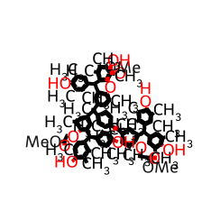 COC(=O)COc1c(C)cc(C(C)(C)c2ccc(C(C)(c3cc(C)c(OCC(=O)OC)c(C(c4cc(C)c(O)c(C)c4C)c4cc(C)c(O)c(C)c4C)c3)c3cc(C)c(OCC(=O)OC)c(C(c4cc(C)c(O)c(C)c4C)c4cc(C)c(O)c(C)c4C)c3)cc2)cc1C(c1cc(C)c(O)c(C)c1C)c1cc(C)c(O)c(C)c1C